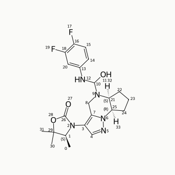 C[C@@H]1N(c2cnn3c2CN(C(O)Nc2ccc(F)c(F)c2)[C@H]2CCC[C@H]23)C(=O)OC1(C)C